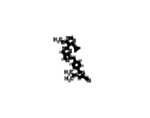 COc1ncnc(C2CC2)c1-c1ncc2cnn(Cc3ccc(-c4nc(C#N)cn4C(C)C)cc3)c2n1